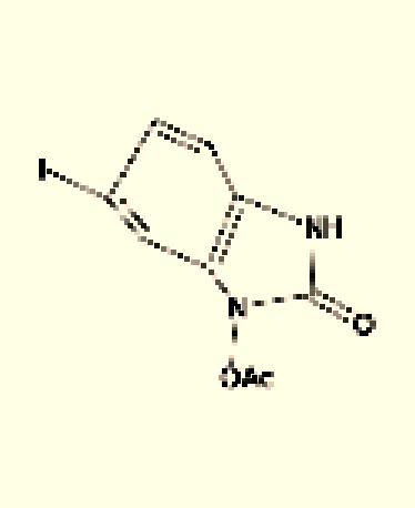 CC(=O)On1c(=O)[nH]c2ccc(I)cc21